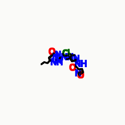 CCCc1cc(=O)n2nc(NCc3cc(NC(=O)c4ccon4)ncc3Cl)nc2[nH]1